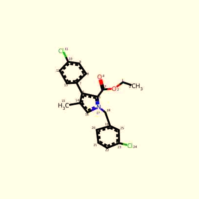 CCOC(=O)c1c(-c2ccc(Cl)cc2)c(C)cn1Cc1cccc(Cl)c1